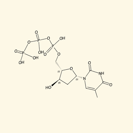 Cc1cn([C@@H]2C[C@@H](O)[C@H](COP(=O)(O)OP(=O)(O)OP(=O)(O)O)O2)c(=O)[nH]c1=O